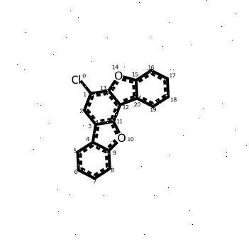 Clc1cc2c3ccccc3oc2c2c1oc1ccccc12